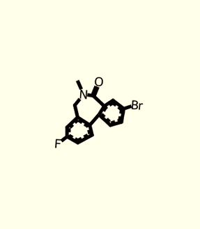 CN1Cc2cc(F)ccc2-c2ccc(Br)cc2C1=O